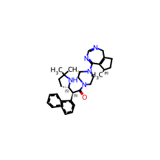 C[C@@H]1CCC2=C1C(N1CCN(C(=O)[C@@H](c3cccc4ccccc34)[C@@H]3CCC(C)(C)N3)CC1)=NC=NC2